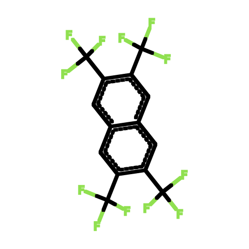 FC(F)(F)c1cc2cc(C(F)(F)F)c(C(F)(F)F)cc2cc1C(F)(F)F